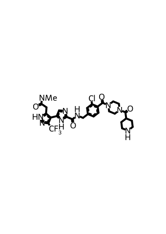 CNC(=O)Cc1[nH]nc(C(F)(F)F)c1-c1cnc(C(=O)NCc2ccc(C(=O)N3CCN(C(=O)C4CCNCC4)CC3)c(Cl)c2)[nH]1